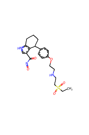 CCS(=O)(=O)CCNCCOc1ccc(C2CCCc3[nH]cc(C(=O)N=O)c32)cc1